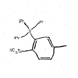 Cc1ccc(S(=O)(=O)O)c([Si](C(C)C)(C(C)C)C(C)C)c1